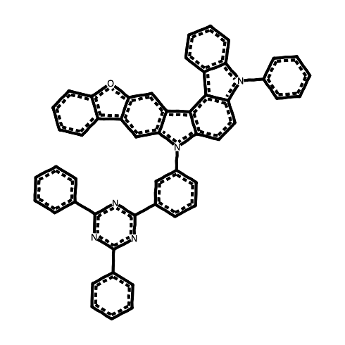 c1ccc(-c2nc(-c3ccccc3)nc(-c3cccc(-n4c5cc6c(cc5c5c7c8ccccc8n(-c8ccccc8)c7ccc54)oc4ccccc46)c3)n2)cc1